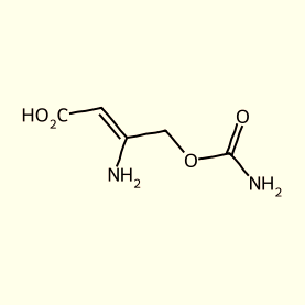 NC(=O)OCC(N)=CC(=O)O